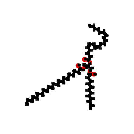 CCCCC/C=C\C/C=C\C/C=C\C/C=C\CCCC(=O)O[C@H](COC(=O)CCCCCCCCCCC)COC(=O)CCCCCCCCCCCCCCCCCCCCC